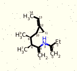 C=C(CC)NC(=C)[C@@H](C)[C@@H](C)[C@H]1C/C1=C/C